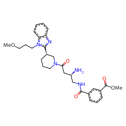 COCCCn1c([C@@H]2CCCN(C(=O)C[C@@H](N)CNC(=O)c3cccc(C(=O)OC)c3)C2)nc2ccccc21